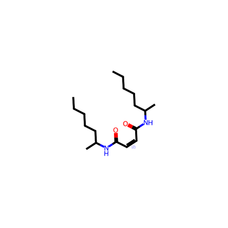 CCCCCC(C)NC(=O)/C=C\C(=O)NC(C)CCCCC